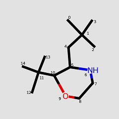 CC(C)(C)CC1NCCOC1C(C)(C)C